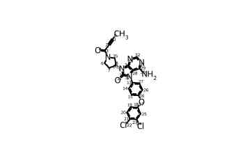 CC#CC(=O)N1CC[C@@H](n2c(=O)n(-c3ccc(Oc4ccc(Cl)c(Cl)c4)cc3)c3c(N)ncnc32)C1